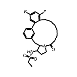 CCS(=O)(=O)NC1CCN2C(=O)CCCCCCc3c(F)cc(F)cc3-c3cccc(c3)CC12